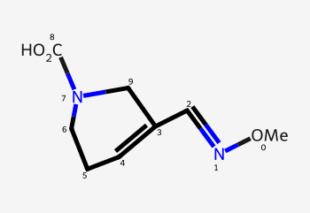 CON=CC1=CCCN(C(=O)O)C1